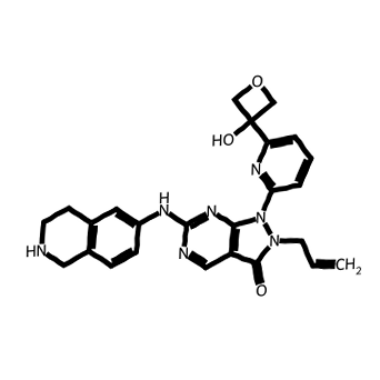 C=CCn1c(=O)c2cnc(Nc3ccc4c(c3)CCNC4)nc2n1-c1cccc(C2(O)COC2)n1